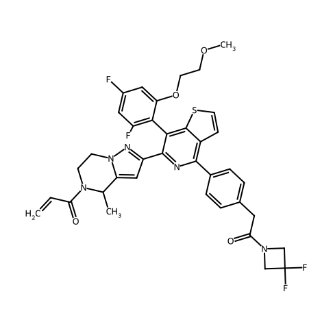 C=CC(=O)N1CCn2nc(-c3nc(-c4ccc(CC(=O)N5CC(F)(F)C5)cc4)c4ccsc4c3-c3c(F)cc(F)cc3OCCOC)cc2C1C